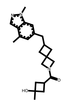 Cc1cc(CC2CC3(C2)CN(C(=O)C2CC(C)(O)C2)C3)cc2c1cnn2C